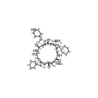 CCCC[C@H]1C(=O)N[C@@H](C2CCCCCC2)C(=O)N[C@@H](CN)C(=O)N[C@@H](COC2CCNCC2)C(=O)N[C@H](C)CO[C@H](CC2CCCCC2)[C@@H](C)C(=O)N1C